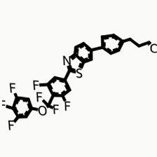 C=CCCc1ccc(-c2ccc3nc(-c4cc(F)c(C(F)(F)Oc5cc(F)c(F)c(F)c5)c(F)c4)sc3c2)cc1